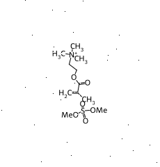 C=C(C)C(=O)OCC[N+](C)(C)C.COS(=O)(=O)OC